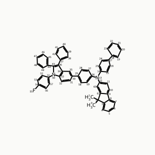 CC1(C)c2ccccc2-c2ccc(N(c3ccc(-c4ccccc4)cc3)c3ccc(-c4ccc5c(c4)c(-c4ccccc4)c(-c4ccccc4)n5-c4ccc(F)cc4)cc3)cc21